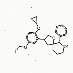 FCOc1ccc(OC2CC2)c([C@H]2CO[C@]3(CCCN[C@H]3c3ccccc3)C2)c1